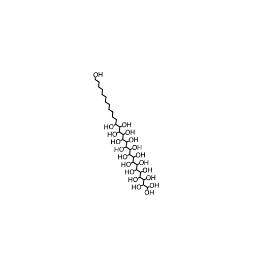 OCCCCCCCCCCCCC(O)C(O)C(O)C(O)C(O)C(O)C(O)C(O)C(O)C(O)C(O)C(O)C(O)C(O)C(O)C(O)C(O)C(O)O